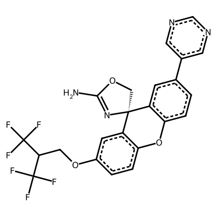 NC1=N[C@]2(CO1)c1cc(OCC(C(F)(F)F)C(F)(F)F)ccc1Oc1ccc(-c3cncnc3)cc12